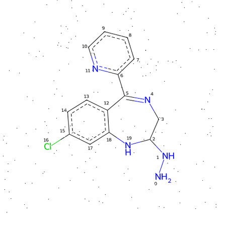 NNC1CN=C(c2ccccn2)c2ccc(Cl)cc2N1